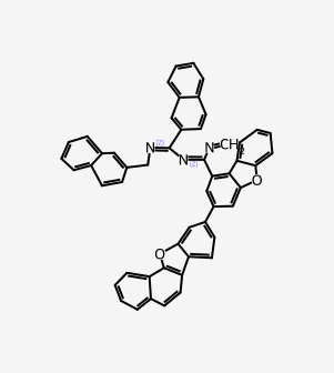 C=N/C(=N\C(=N/Cc1ccc2ccccc2c1)c1ccc2ccccc2c1)c1cc(-c2ccc3c(c2)oc2c4ccccc4ccc32)cc2oc3ccccc3c12